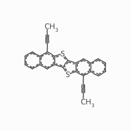 CC#Cc1c2ccccc2cc2c1sc1c3cc4ccccc4c(C#CC)c3sc21